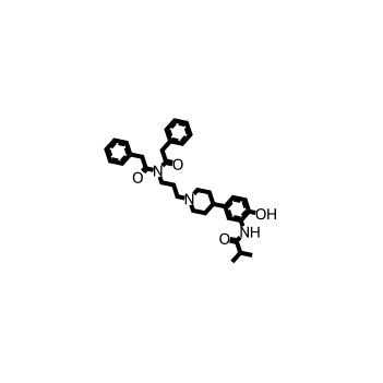 CC(C)C(=O)Nc1cc(C2CCN(CCCN(C(=O)Cc3ccccc3)C(=O)Cc3ccccc3)CC2)ccc1O